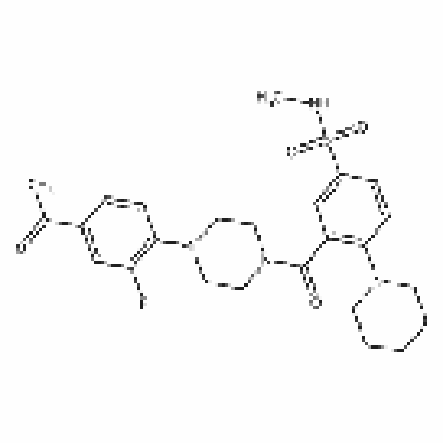 CNS(=O)(=O)c1ccc(N2CCCCC2)c(C(=O)N2CCN(c3ccc(C(C)=O)cc3F)CC2)c1